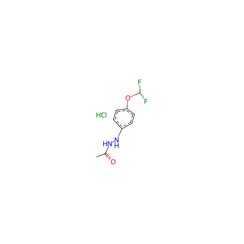 CC(=O)NNc1ccc(OC(F)F)cc1.Cl